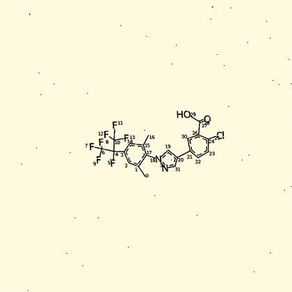 Cc1cc(C(F)(C(F)(F)F)C(F)(F)F)cc(C)c1-n1cc(-c2ccc(Cl)c(C(=O)O)c2)cn1